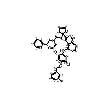 O=S(=O)=CN(CCc1ccccn1)CCC1(c2cc3c(Nc4ccc(OCc5cccc(F)c5)c(Cl)c4)ncnc3cn2)CC=CO1